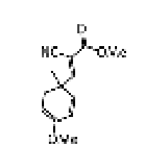 COC(=O)/C(C#N)=C/C1(C)C=CC(OC)=CC1